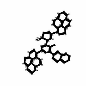 Cc1c(-c2ccc3ccccc3c2)cc(-c2ccc3ccc4cccc5ccc2c3c45)cc1C1C=C(c2ccc3ccc4cccc5ccc2c3c45)C=CC1O